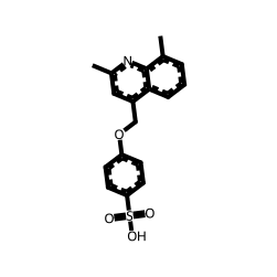 Cc1cc(COc2ccc(S(=O)(=O)O)cc2)c2cccc(C)c2n1